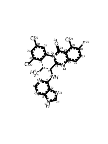 CC[C@@H](Nc1ncnc2[nH]cnc12)c1nc2ccc(F)c(Cl)c2c(=O)n1-c1cc(Cl)cc(Cl)c1